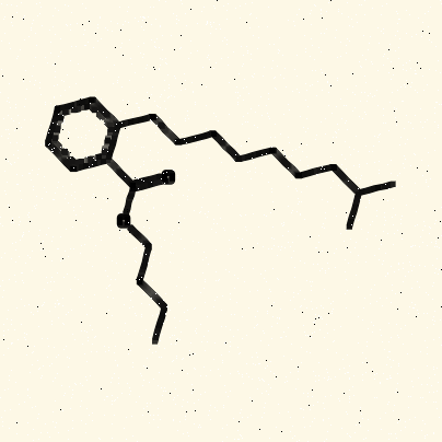 CCCCOC(=O)c1ccccc1CCCCCCCC(C)C